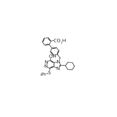 CC(C)Sc1nnc(O)c2c1nc(C1CCCCC1)n2Cc1ccc(-c2ccccc2C(=O)O)cc1